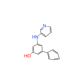 Oc1cc(Nc2cccnc2)cc(-c2ccccc2)c1